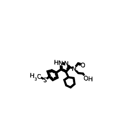 CSc1ccc(-c2[nH]nc(N(C=O)CCO)c2C2CCCCC2)cc1